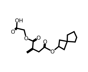 C=C(CC(=O)OC1CC2(CCCC2)C1)C(=O)OCC(=O)O